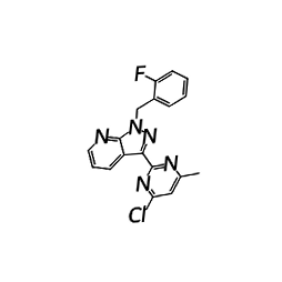 Cc1cc(Cl)nc(-c2nn(Cc3ccccc3F)c3ncccc23)n1